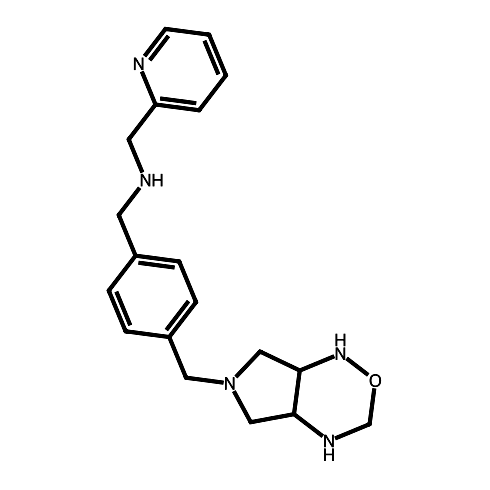 c1ccc(CNCc2ccc(CN3CC4NCONC4C3)cc2)nc1